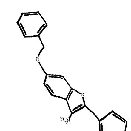 Nc1c(-c2ccccc2)sc2cc(OCc3ccccc3)ccc12